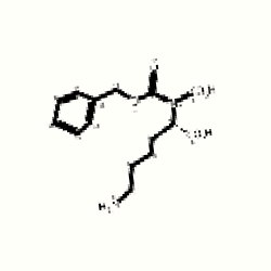 NCCCC[C@@H](C(=O)O)N(C(=O)O)C(=O)OCc1ccccc1